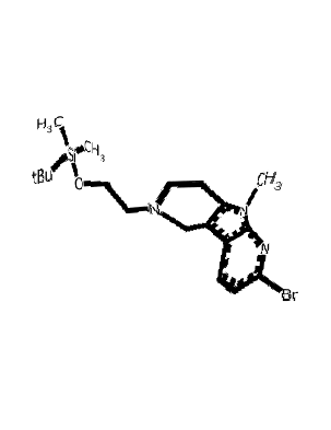 Cn1c2c(c3ccc(Br)nc31)CN(CCO[Si](C)(C)C(C)(C)C)CC2